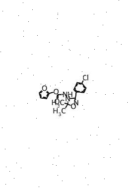 CC1(C)ON=C(c2ccc(Cl)cc2)N1NC(=O)Oc1ccco1